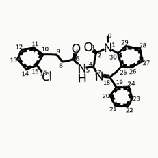 CN1C(=O)C(NC(=O)CCc2ccccc2Cl)N=C(c2ccccc2)c2ccccc21